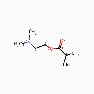 CC(C(=O)OCCN(C)C)C(C)(C)C